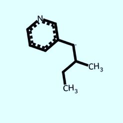 CCC(C)[CH]c1cccnc1